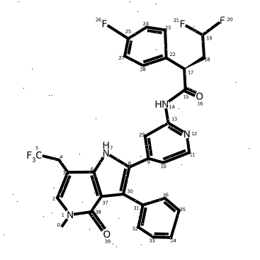 Cn1cc(CC(F)(F)F)c2[nH]c(-c3ccnc(NC(=O)[C@H](CC(F)F)c4ccc(F)cc4)c3)c(-c3ccccc3)c2c1=O